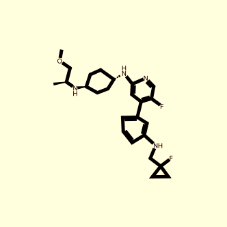 COC[C@H](C)N[C@H]1CC[C@H](Nc2cc(-c3cccc(NCC4(F)CC4)c3)c(F)cn2)CC1